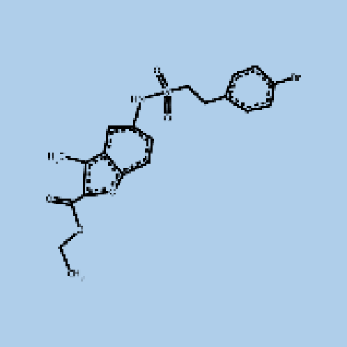 CCOC(=O)c1oc2ccc(NS(=O)(=O)CCc3ccc(Br)cc3)cc2c1C